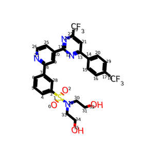 O=S(=O)(c1cccc(-c2cc(-c3nc(-c4ccc(C(F)(F)F)cc4)cc(C(F)(F)F)n3)ccn2)c1)N(CCO)CCO